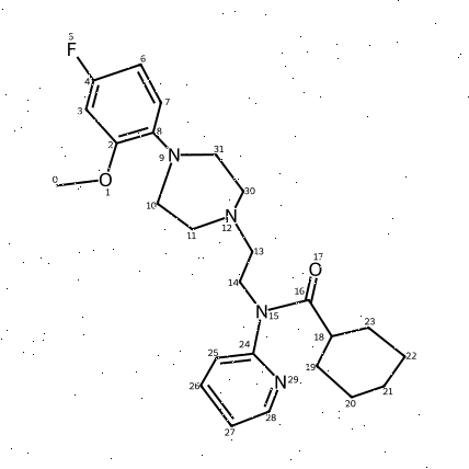 COc1cc(F)ccc1N1CCN(CCN(C(=O)C2CCCCC2)c2ccccn2)CC1